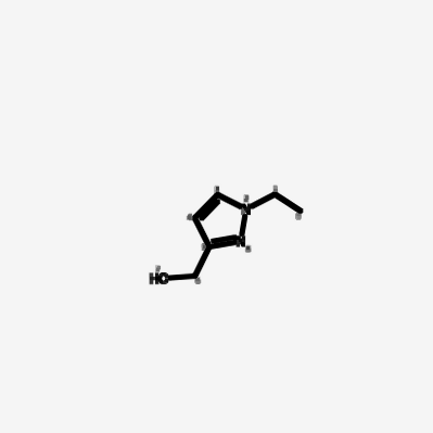 CCn1ccc(CO)n1